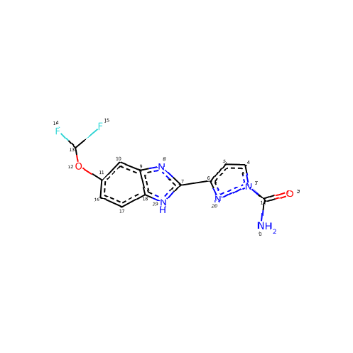 NC(=O)n1c[c]c(-c2nc3cc(OC(F)F)ccc3[nH]2)n1